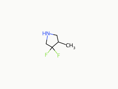 CC1CNCC1(F)F